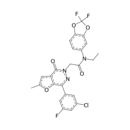 CCN(C(=O)Cn1nc(-c2cc(F)cc(Cl)c2)c2oc(C)cc2c1=O)c1ccc2c(c1)OC(F)(F)O2